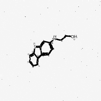 OCCNc1ccc2c(c1)sc1ccccc12